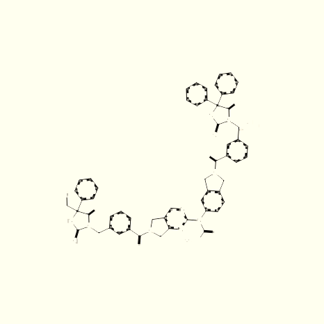 COC(=O)N(c1ccc2c(c1)CN(C(=O)c1cccc([C@@H](C)N3C(=N)NC(c4ccccc4)(c4ccccc4)C3=O)c1)C2)c1ncc2c(n1)CN(C(=O)c1cccc(CN3C(=N)NC(CC(C)C)(c4ccccc4)C3=O)c1)C2